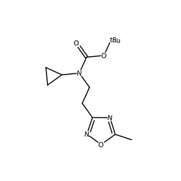 Cc1nc(CCN(C(=O)OC(C)(C)C)C2CC2)no1